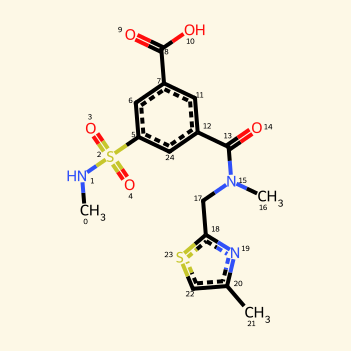 CNS(=O)(=O)c1cc(C(=O)O)cc(C(=O)N(C)Cc2nc(C)cs2)c1